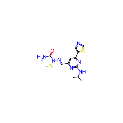 CSN(/N=C/c1cc(-c2cncs2)nc(NC(C)C)n1)C(N)=O